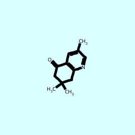 Cc1cnc2c(c1)C(=O)CC(C)(C)C2